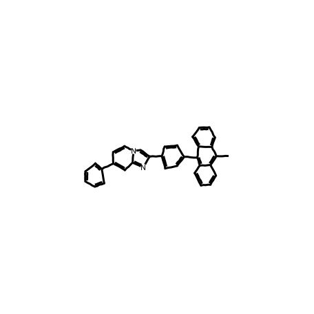 Cc1c2ccccc2c(-c2ccc(-c3cn4ccc(-c5ccccc5)cc4n3)cc2)c2ccccc12